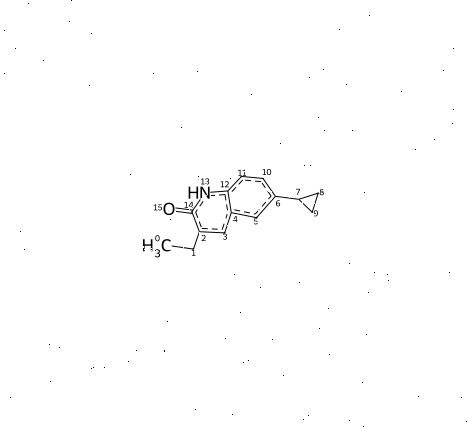 CCc1cc2cc(C3CC3)ccc2[nH]c1=O